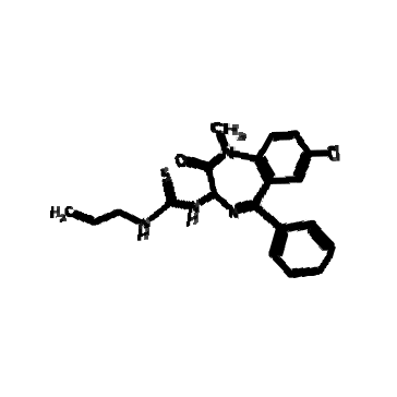 C=CCNC(=S)NC1N=C(c2ccccc2)c2cc(Cl)ccc2N(C)C1=O